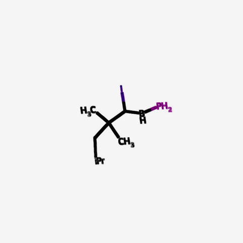 CC(C)CC(C)(C)C(I)BP